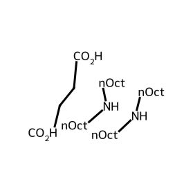 CCCCCCCCNCCCCCCCC.CCCCCCCCNCCCCCCCC.O=C(O)CCC(=O)O